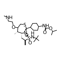 C=C(C[C@H]1N=C(C2CCC(NC(=O)OC(C)C)CC2)SCC(OCCNC)[C@H]1C)S(=O)(=O)NC(C)(C)C